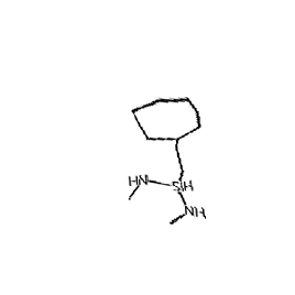 CN[SiH](CC1CCCCC1)NC